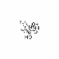 Cc1ccc(C(n2nc(CO)c3c(=O)[nH]c(O)nc32)C2(C)CC2)cc1F